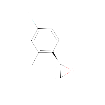 Cc1cc(F)ccc1[C@H]1O[C@@H]1C